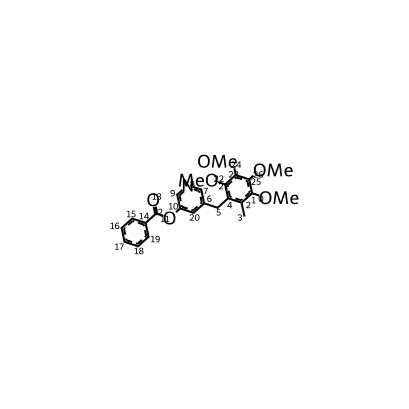 COc1c(C)c(Cc2cncc(OC(=O)c3ccccc3)c2)c(OC)c(OC)c1OC